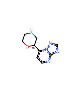 c1cc([C@@H]2CNCCO2)n2ncnc2n1